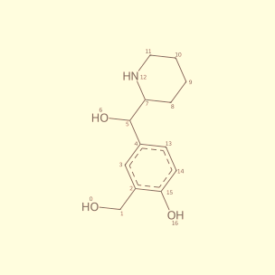 OCc1cc(C(O)C2CCCCN2)ccc1O